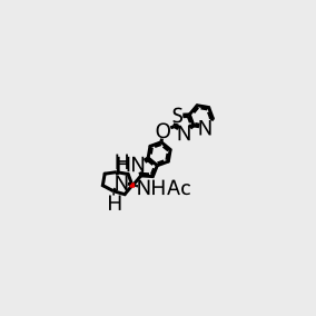 CC(=O)N[C@H]1C[C@H]2CC[C@@H](C1)N2Cc1cc2ccc(Oc3nc4ncccc4s3)cc2[nH]1